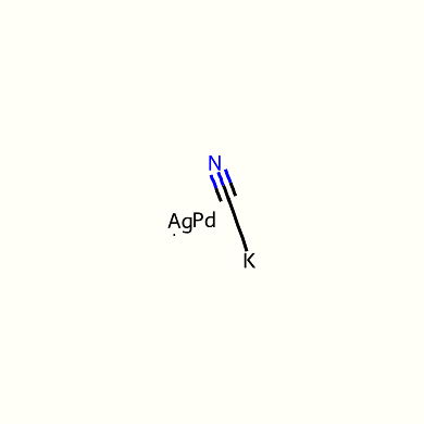 N#[C][K].[Ag].[Pd]